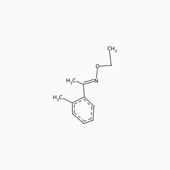 CCO/N=C(\C)c1ccccc1C